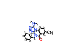 CN(C)c1nnc2n(Cc3ccccc3)c(=O)c3cc(C#N)ccc3n12